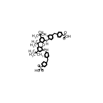 CC(C)(C)c1cc(Pc2ccc(Cc3ccc(S(=O)(=O)O)cc3)cc2)c2c(c1)C(C)(C)c1cc(C(C)(C)C)cc(Pc3ccc(Cc4ccc(S(=O)(=O)O)cc4)cc3)c1O2